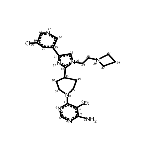 CCc1c(N)ncnc1N1CCC(c2nc(-c3cncc(Cl)c3)cn2CCN2CCC2)CC1